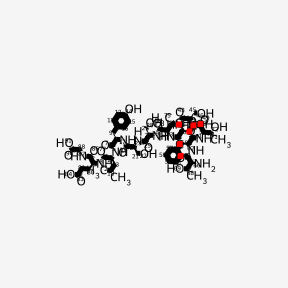 CC(C)C[C@H](NC(=O)[C@H](Cc1ccc(O)cc1)NC(=O)[C@H](CO)NC(=O)[C@H](CO)NC(=O)[C@@H](NC(=O)[C@H](CC(=O)O)NC(=O)[C@H](CO)NC(=O)[C@@H](NC(=O)[C@H](Cc1ccccc1)NC(=O)[C@@H](N)[C@@H](C)O)[C@@H](C)O)C(C)C)C(=O)N[C@@H](CCC(=O)O)C(=O)NCC(=O)O